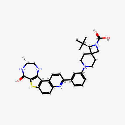 C[C@@H]1CNc2c(sc3ccc4nc(-c5cccc(N6CCC7(CC6)CN(C(=O)O)[C@@H]7C(C)(C)C)c5)ccc4c23)C(=O)N1